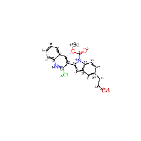 CC(C)(C)OC(=O)n1c(-c2cc3ccccc3nc2Cl)cc2cc(CCO)ccc21